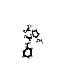 C[C@H]1CC[C@@H](C(=O)O)N1C(=O)OCc1ccccc1